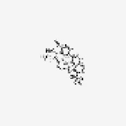 CCN(CC)C1CCC(Nc2c(S(C)(=O)=O)cnc3ccc(-c4cnc(C#N)nc4)cc23)CC1